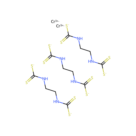 S=C([S-])NCCNC(=S)[S-].S=C([S-])NCCNC(=S)[S-].S=C([S-])NCCNC(=S)[S-].[Cr+3].[Cr+3]